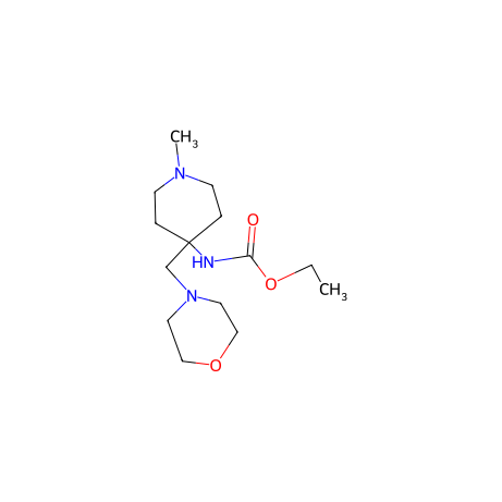 CCOC(=O)NC1(CN2CCOCC2)CCN(C)CC1